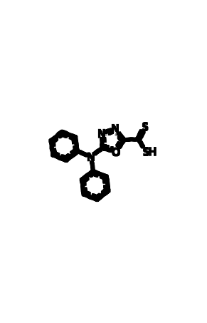 S=C(S)c1nnc(N(c2ccccc2)c2ccccc2)o1